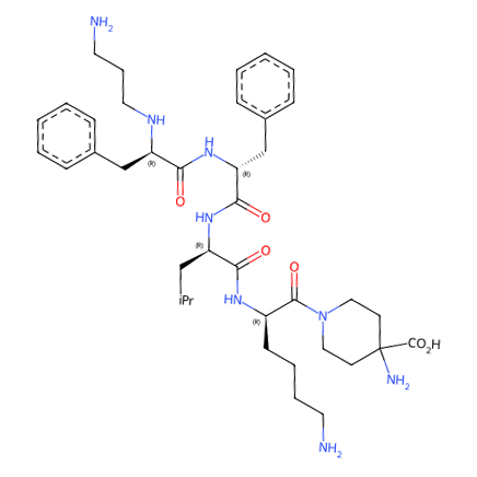 CC(C)C[C@@H](NC(=O)[C@@H](Cc1ccccc1)NC(=O)[C@@H](Cc1ccccc1)NCCCN)C(=O)N[C@H](CCCCN)C(=O)N1CCC(N)(C(=O)O)CC1